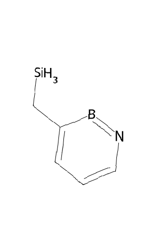 [SiH3]Cc1bnccc1